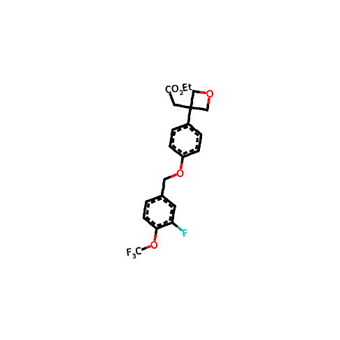 CCOC(=O)CC1(c2ccc(OCc3ccc(OC(F)(F)F)c(F)c3)cc2)COC1